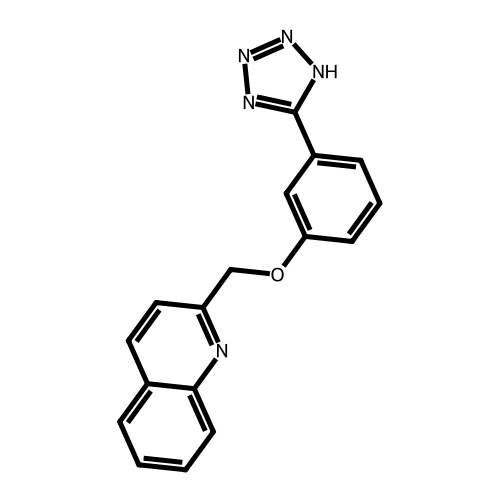 c1cc(OCc2ccc3ccccc3n2)cc(-c2nnn[nH]2)c1